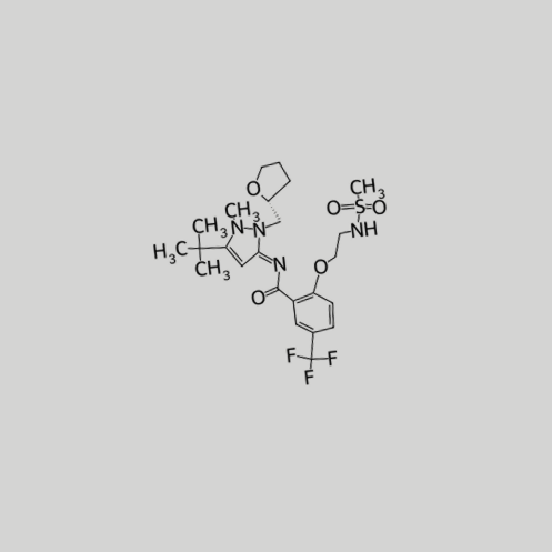 Cn1c(C(C)(C)C)cc(=NC(=O)c2cc(C(F)(F)F)ccc2OCCNS(C)(=O)=O)n1C[C@H]1CCCO1